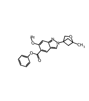 CC(C)Oc1cc2nn(C34COC(C)(C3)C4)cc2cc1C(=O)Oc1ccccc1